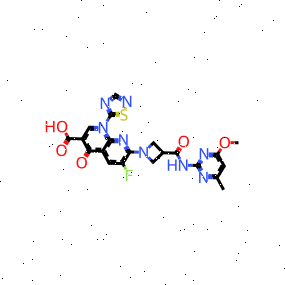 COc1cc(C)nc(NC(=O)C2CN(c3nc4c(cc3F)c(=O)c(C(=O)O)cn4-c3ncns3)C2)n1